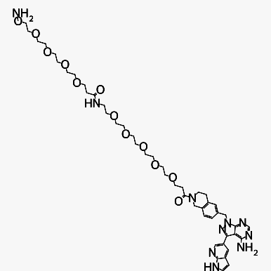 NOCCOCCOCCOCCOCCC(=O)NCCOCCOCCOCCOCCOCCC(=O)N1CCc2cc(Cn3nc(-c4cnc5[nH]ccc5c4)c4c(N)ncnc43)ccc2C1